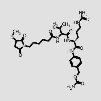 CSC1CC(=O)N(CCCCCC(=O)NC(C(=O)N[C@@H](CCCNC(N)=O)C(=O)Nc2ccc(COC(N)=O)cc2)C(C)C)C1=O